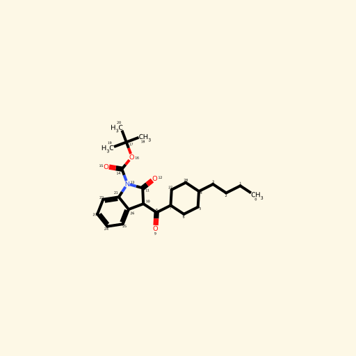 CCCCC1CCC(C(=O)C2C(=O)N(C(=O)OC(C)(C)C)c3ccccc32)CC1